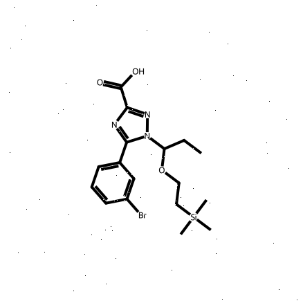 CCC(OCC[Si](C)(C)C)n1nc(C(=O)O)nc1-c1cccc(Br)c1